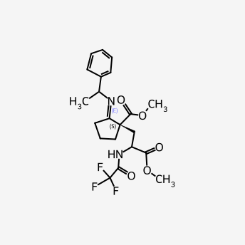 COC(=O)C(C[C@@]1(C(=O)OC)CCC/C1=N\C(C)c1ccccc1)NC(=O)C(F)(F)F